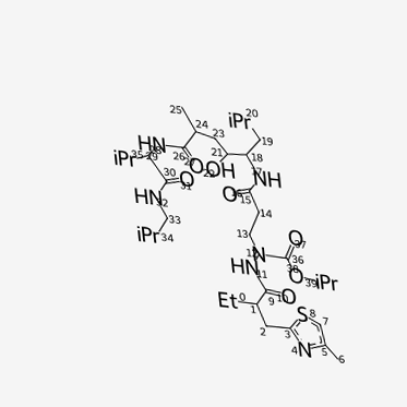 CCC(Cc1nc(C)cs1)C(=O)NN(CCC(=O)NC(CC(C)C)C(O)CC(C)C(=O)NC(C(=O)NCC(C)C)C(C)C)C(=O)OC(C)C